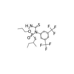 CCCOP(=O)(SC(C)CC)N(C(N)=S)c1cc(C(F)(F)F)cc(C(F)(F)F)c1